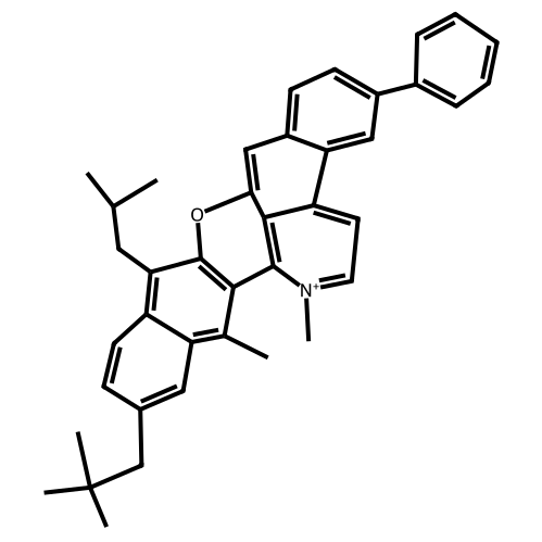 Cc1c2c(c(CC(C)C)c3ccc(CC(C)(C)C)cc13)Oc1cc3ccc(-c4ccccc4)cc3c3cc[n+](C)c-2c13